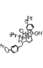 CCOc1ccc(C(O)C2CCC(CCc3ccc(OC(C)C)cc3)N2)c(NC(=O)NC(C)C)c1